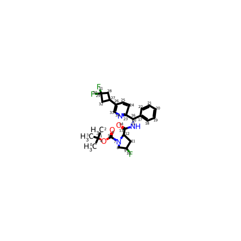 CC(C)(C)OC(=O)N1CC(F)CC1C(=O)N[C@@H](c1ccccc1)c1ccc(C2CC(F)(F)C2)cn1